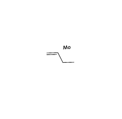 C=CCC.[Mo]